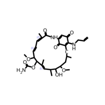 C=CCNC1=C2CC(C)CC(OC)C(O)C(C)/C=C(\C)C(OC(N)=O)C(OC)/C=C/C=C(/C)C(=O)NC(=CC1=O)C2=O